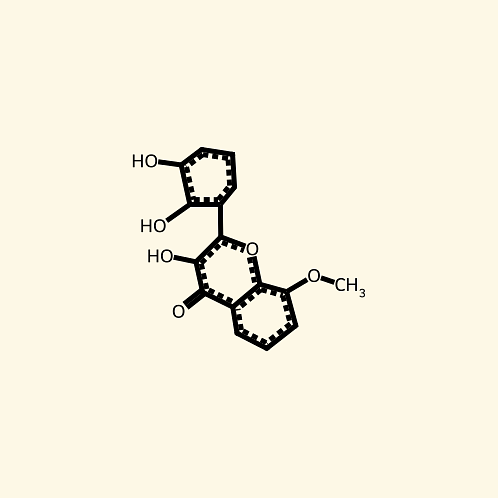 COc1cccc2c(=O)c(O)c(-c3cccc(O)c3O)oc12